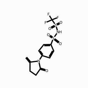 C=C1CCC(=O)N1c1ccc(S(=O)(=O)NS(=O)(=O)C(F)(F)F)cc1